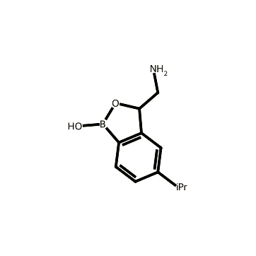 CC(C)c1ccc2c(c1)C(CN)OB2O